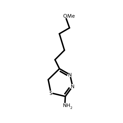 COCCCCC1=NN=C(N)SC1